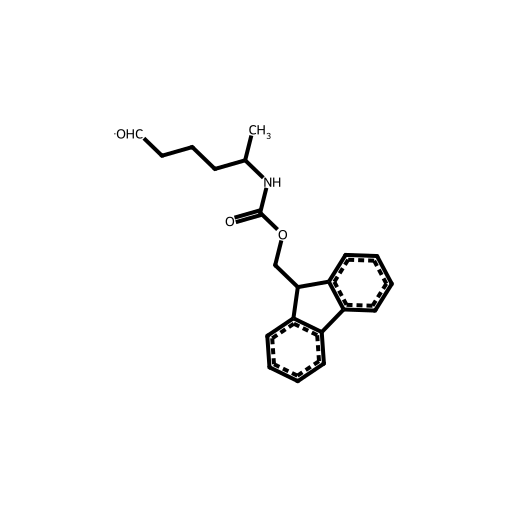 CC(CCC[C]=O)NC(=O)OCC1c2ccccc2-c2ccccc21